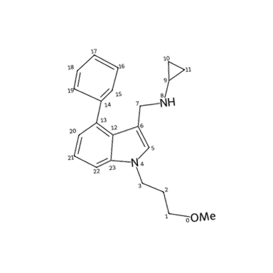 COCCCn1cc(CNC2CC2)c2c(-c3ccccc3)cccc21